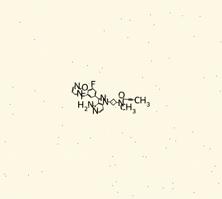 CC#CC(=O)N(C)[C@H]1C[C@@H](n2nc(-c3cc(F)c(Oc4ncccn4)c(F)c3)c3c(N)nccc32)C1